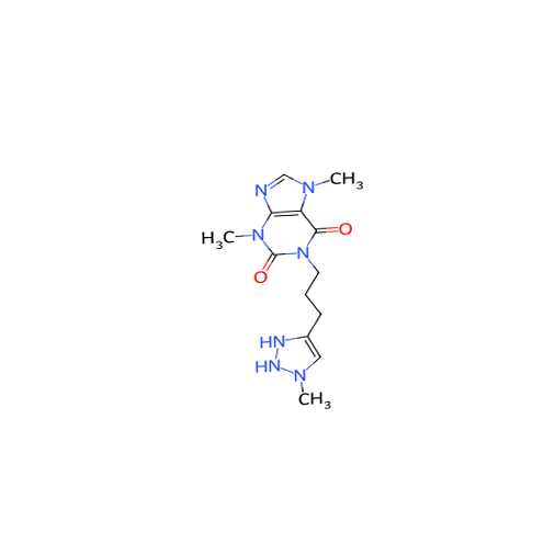 CN1C=C(CCCn2c(=O)c3c(ncn3C)n(C)c2=O)NN1